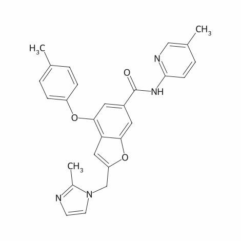 Cc1ccc(Oc2cc(C(=O)Nc3ccc(C)cn3)cc3oc(Cn4ccnc4C)cc23)cc1